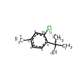 CCC(C)(C)c1ccc(C(F)(F)F)cc1Cl